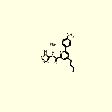 CCCCc1cc(C(=O)Nc2nnn[nH]2)nc(-c2ccc(N)cc2)c1.[Na]